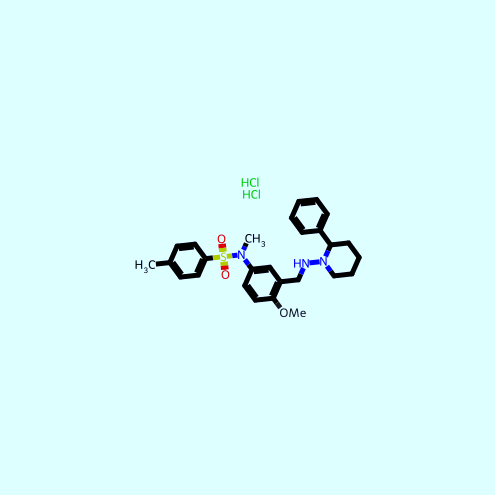 COc1ccc(N(C)S(=O)(=O)c2ccc(C)cc2)cc1CNN1CCCCC1c1ccccc1.Cl.Cl